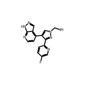 CC(C)Cn1cc(-c2ccnc3[nH]ncc23)c(-c2ccc(F)cn2)n1